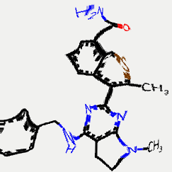 Cc1sc2c(C(N)=O)cccc2c1-c1nc(NCc2ccccc2)c2c(n1)N(C)CC2